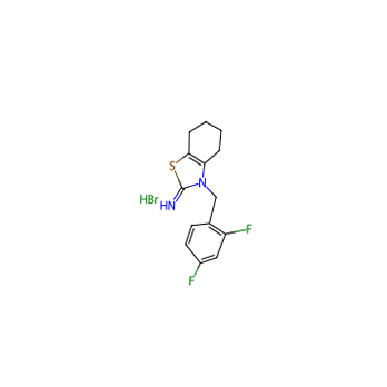 Br.N=c1sc2c(n1Cc1ccc(F)cc1F)CCCC2